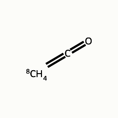 C=C=O.[8CH4]